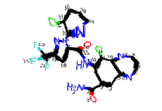 NC(=O)c1cc2nccnc2c(Cl)c1NC(=O)c1cc(C(F)(F)F)nn1-c1ncccc1Cl